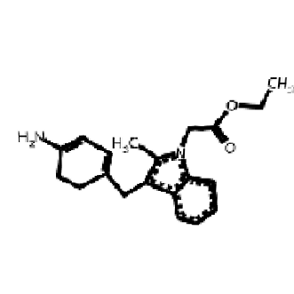 CCOC(=O)Cn1c(C)c(CC2=CC=C(N)CC2)c2ccccc21